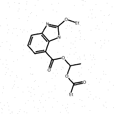 CCOC1=Nc2cccc(C(=O)OC(C)OC(=O)CC)c2[N]1